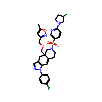 Cc1cc(COCC23Cc4cnn(-c5ccc(F)cc5)c4C=C2CCN(S(=O)(=O)c2ccc(N4CCC(F)C4)nc2)C3)no1